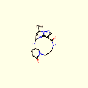 CNc1cc2nc3c(cnn13)C(=O)NCCCn1cc(ccc1=O)N2